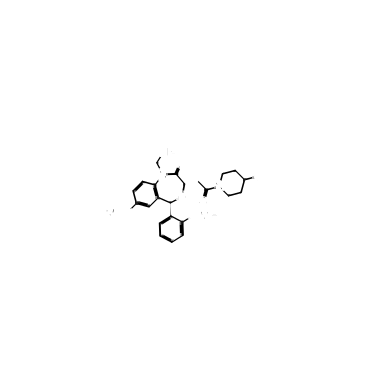 COc1ccccc1[C@@H]1O[C@@H](CC(=O)N2CCC(C(=O)O)CC2)C(=O)N(CC(C)(C)C)c2ccc(SC)cc21